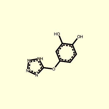 Oc1ccc(Oc2nnn[nH]2)cc1O